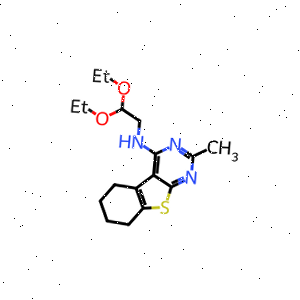 CCOC(CNc1nc(C)nc2sc3c(c12)CCCC3)OCC